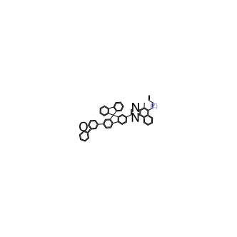 C=C/C=C\c1c(C)c2ncc(-c3ccc4c(c3)C3(c5ccccc5-c5ccccc53)c3cc(-c5ccc6oc7ccccc7c6c5)ccc3-4)nc2c2ccccc12